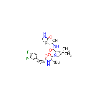 CC(C)(C)C(NC(=O)[C@@H]1C[C@H]1c1ccc(F)c(F)c1)C(=O)N1CC2C(C1C(=O)NC(C#N)C[C@@H]1CCNC1=O)C2(C)C